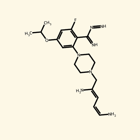 CC(C)Oc1cc(F)c(C(=N)N=N)c(N2CCN(C/C(N)=C/C=C\N)CC2)c1